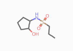 CCCS(=O)(=O)NC1CCCC1O